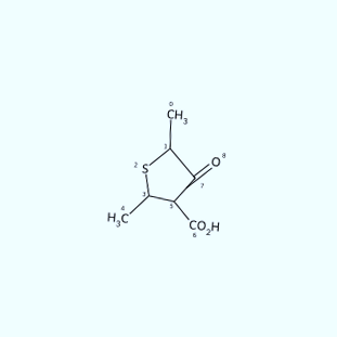 CC1SC(C)C(C(=O)O)C1=O